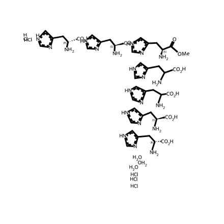 COC(=O)[C@@H](N)Cc1c[nH]cn1.Cl.Cl.Cl.Cl.Cl.NC(Cc1c[nH]cn1)C(=O)O.NC(Cc1c[nH]cn1)C(=O)O.N[C@@H](Cc1c[nH]cn1)C(=O)O.N[C@@H](Cc1c[nH]cn1)C(=O)O.N[C@H](Cc1c[nH]cn1)C(=O)O.N[C@H](Cc1c[nH]cn1)C(=O)O.O.O.O